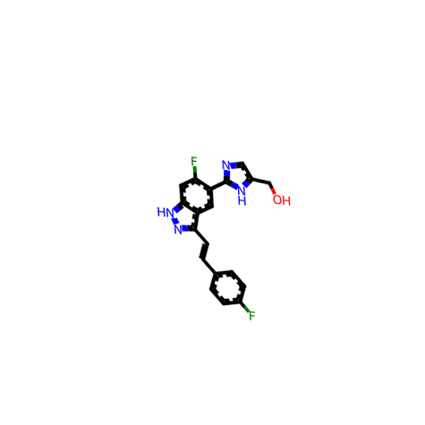 OCc1cnc(-c2cc3c(C=Cc4ccc(F)cc4)n[nH]c3cc2F)[nH]1